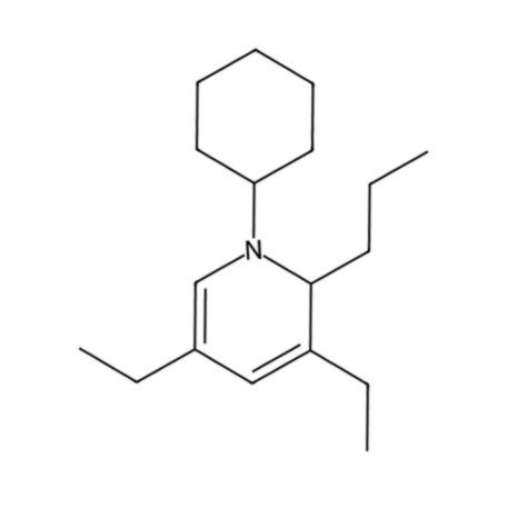 CCCC1C(CC)=CC(CC)=CN1C1CCCCC1